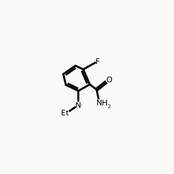 CC[N]c1cccc(F)c1C(N)=O